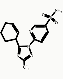 NS(=O)(=O)c1ccc(-n2nc(C(F)(F)F)nc2C2C=CCCC2)nc1